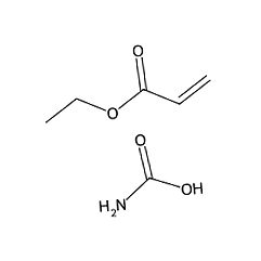 C=CC(=O)OCC.NC(=O)O